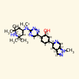 CN(c1ncc(-c2ccc(-c3cc4cnn(C)c4cn3)cc2O)nn1)C1CC(C)(C)NC(C)(C)C1